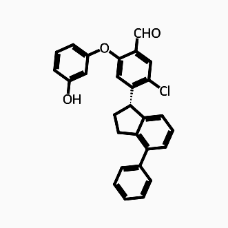 O=Cc1cc(Cl)c([C@H]2CCc3c(-c4ccccc4)cccc32)cc1Oc1cccc(O)c1